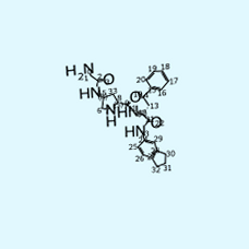 NCC(=O)N[C@H]1CN[C@H](C(=O)N[C@H](CCc2ccccc2)C(=O)Nc2ccc3c(c2)CCC3)C1